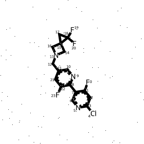 Fc1cc(Cl)ncc1-c1ncc(CN2CC3(C2)CC3(F)F)cc1F